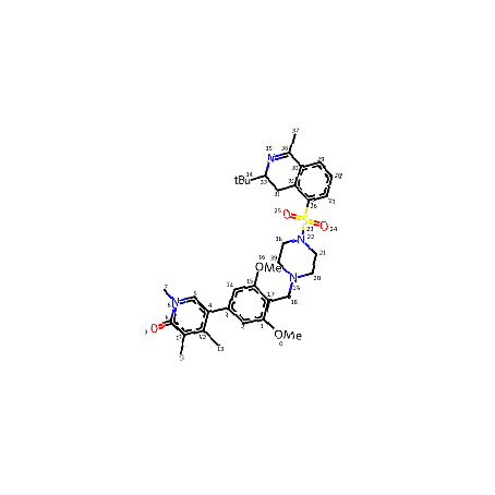 COc1cc(-c2cn(C)c(=O)c(C)c2C)cc(OC)c1CN1CCN(S(=O)(=O)c2cccc3c2CC(C(C)(C)C)N=C3C)CC1